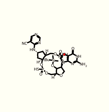 CC(C)(C)[Si](C)(C)OC1[C@H]2COP(=O)(S)O[C@H]3C[C@H](Nc4ncncc4C#N)C[C@@H]3COP(=O)(S)O[C@]1(n1cnc3c(=O)[nH]c(N)nc31)CO2